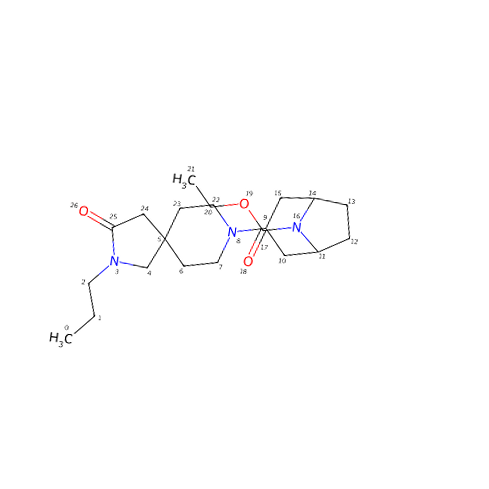 CCCN1CC2(CCN(C3CC4CCC(C3)N4C(=O)OCC)CC2)CC1=O